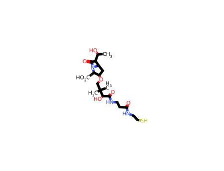 CC(O)C1C(=O)N2C1CC(OCC(C)(C)C(O)C(=O)NCCC(=O)NCCS)C2C(=O)O